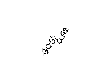 CN(c1ncc(-c2ccc(C(F)(F)F)cc2)o1)c1cccc2c1CC(O[Si](C)(C)C(C)(C)C)CC2